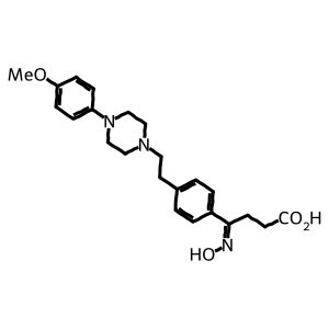 COc1ccc(N2CCN(CCc3ccc(/C(CCC(=O)O)=N\O)cc3)CC2)cc1